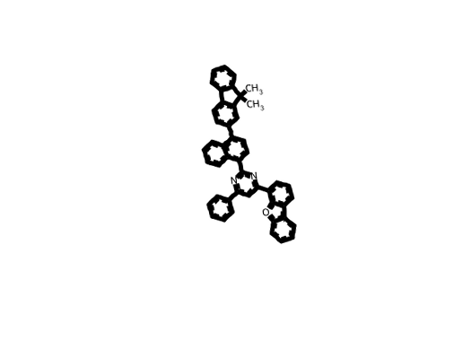 CC1(C)c2ccccc2-c2ccc(-c3ccc(-c4nc(-c5ccccc5)cc(-c5cccc6c5oc5ccccc56)n4)c4ccccc34)cc21